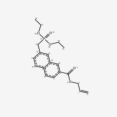 C=CCOC(=O)c1ccc2ncc(CP(=O)(OCC)OCC)cc2c1